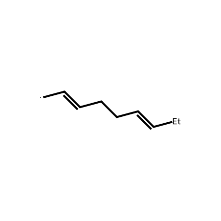 [CH2]/C=C/CC/C=C/CC